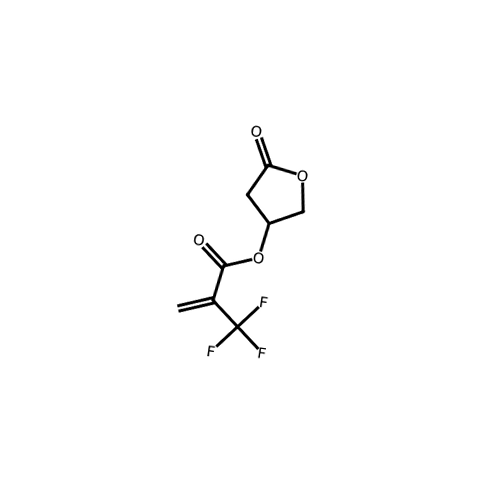 C=C(C(=O)OC1COC(=O)C1)C(F)(F)F